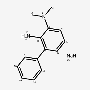 CN(C)c1cccc(-c2ccccc2)c1N.[NaH]